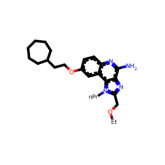 CCCn1c(COCC)nc2c(N)nc3ccc(OCCC4CCCCCC4)cc3c21